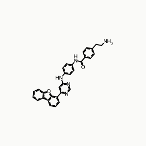 NCCc1ccc(C(=O)Nc2ccc(Nc3cc(-c4cccc5c4oc4ccccc45)ncn3)cc2)cc1